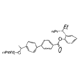 CCCCCOC(C)c1ccc(-c2ccc(C(=O)Oc3ccccc3C(CC)CCC)cc2)cc1